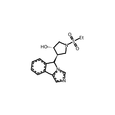 CCS(=O)(=O)N1C[C@@H](O)[C@H](C2c3ccccc3-c3cncn32)C1